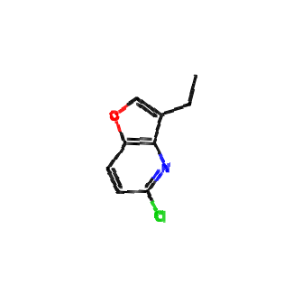 CCc1coc2ccc(Cl)nc12